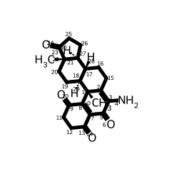 C[C@@]12C(=C(N)C(=O)C3=C1C(=O)CCC3=O)CC[C@@H]1[C@@H]2CC[C@]2(C)C(=O)CC[C@@H]12